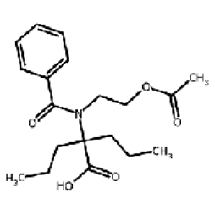 CCCC(CCC)(C(=O)O)N(CCOC(C)=O)C(=O)c1ccccc1